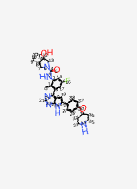 Cc1c(NC(=O)N2C[C@H](CC(C)C)[C@@H](O)C2)cc(F)cc1-c1ncnc2[nH]c(-c3ccc(OC4CCNCC4)cc3)cc12